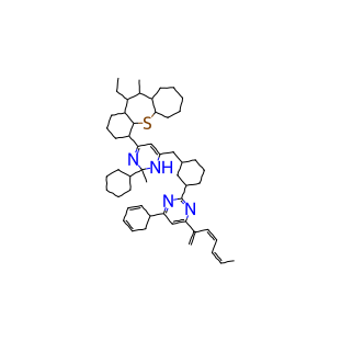 C=C(/C=C\C=C/C)c1cc(C2C=CC=CC2)nc(C2CCCC(CC3=CC(C4CCCC5C(CC)C(C)C6CCCCCC6SC45)=NC(C)(C4CCCCC4)N3)C2)n1